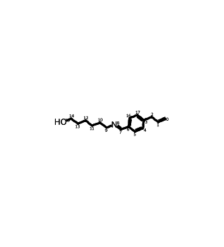 C=CCc1ccc(C=NCCCCCCO)cc1